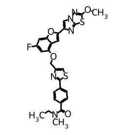 CCN(C)C(=O)c1ccc(-c2nc(COc3cc(F)cc4oc(-c5cn6nc(OC)sc6n5)cc34)cs2)cc1